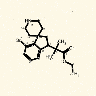 CCOC(=O)C(C)(C)C1CC2(CCNCC2)c2c(Br)cccc21